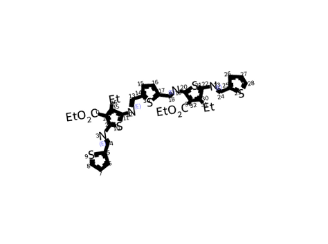 CCOC(=O)c1c(/N=C/c2cccs2)sc(/N=C/c2ccc(/C=N/c3sc(/N=C/c4cccs4)c(CC)c3C(=O)OCC)s2)c1CC